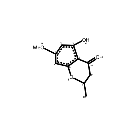 COc1cc(O)c2c(c1)OC(C)CC2=O